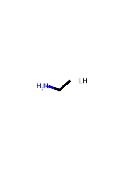 CCN.[LiH]